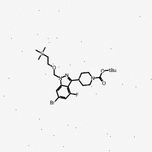 CC(C)(C)OC(=O)N1CCC(c2nn(COCC[Si](C)(C)C)c3cc(Br)cc(F)c23)CC1